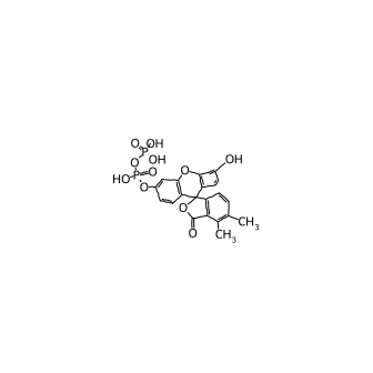 Cc1ccc2c(c1C)C(=O)OC21c2ccc(O)cc2Oc2cc(OP(=O)(O)OP(=O)(O)O)ccc21